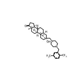 C[C@]12CC[C@](O)(CN3CCN(Cc4cc(C(F)(F)F)ccc4C(F)(F)F)CC3)C[C@@H]1CC[C@@H]1[C@@H]2CC[C@]2(C)C(=O)CC[C@@H]12